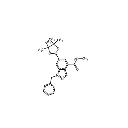 CNC(=O)c1cc(B2OC(C)(C)C(C)(C)O2)cc2c1cnn2Cc1ccccc1